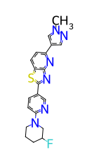 Cn1cc(-c2ccc3sc(-c4ccc(N5CCCC(F)C5)nc4)nc3n2)cn1